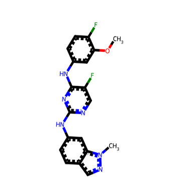 COc1cc(Nc2nc(Nc3ccc4cnn(C)c4c3)ncc2F)ccc1F